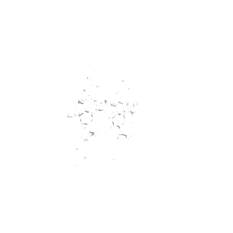 CCCCOC(=O)c1ccc(C(=O)OCCCC)c(S(=O)(=O)[O-])c1.CCCCOC(=O)c1ccc(C(=O)OCCCC)c(S(=O)(=O)[O-])c1.[Ba+2]